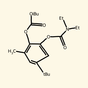 CCN(CC)C(=O)Oc1cc(C(C)(C)C)cc(C)c1OC(=O)OCC(C)C